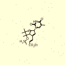 CCOC(=O)C=CC1=CC(n2cc(C)c(=O)[nH]c2=O)CC1C(C)(O[SiH2]C)C(C)(C)C(C)C